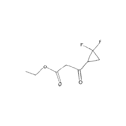 CCOC(=O)CC(=O)C1CC1(F)F